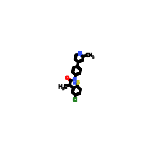 Cc1cc(-c2ccc(NC(=O)C(C)C3=CC(Cl)=CCC3=S)cc2)ccn1